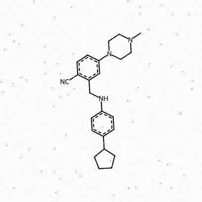 CN1CCN(c2ccc(C#N)c(CNc3ccc(C4CCCC4)cc3)c2)CC1